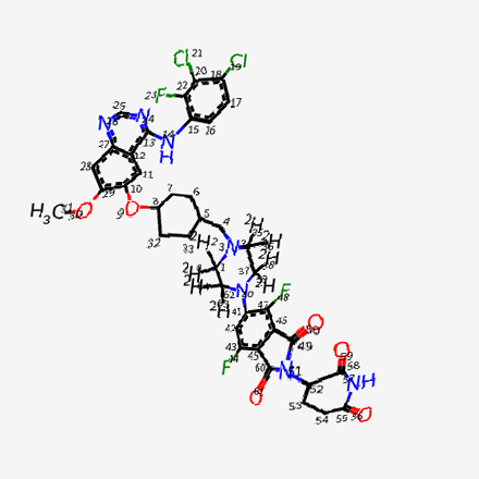 [2H]C1([2H])N(CC2CCC(Oc3cc4c(Nc5ccc(Cl)c(Cl)c5F)ncnc4cc3OC)CC2)C([2H])([2H])C([2H])([2H])N(c2cc(F)c3c(c2F)C(=O)N(C2CCC(=O)NC2=O)C3=O)C1([2H])[2H]